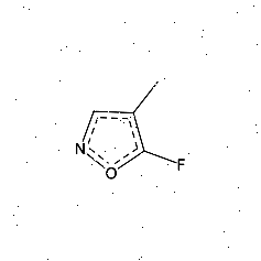 Cc1cnoc1F